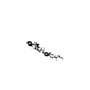 COc1cc(C)ccc1-c1nc(C)c(NC(=O)OCc2ccc3c(c2)nc2n3CCN(C(=O)OC(C)(C)C)C2)s1